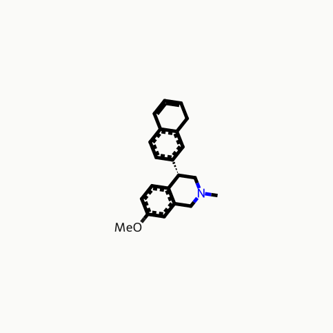 COc1ccc2c(c1)CN(C)C[C@H]2c1ccc2c(c1)CC=C=C2